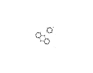 CC#N.CO.O=C1c2ccccc2C(=O)c2c1cccc2S(=O)(=O)O.Oc1ccc(O)cc1